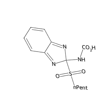 CCCCCS(=O)(=O)C1(NC(=O)O)N=c2ccccc2=N1